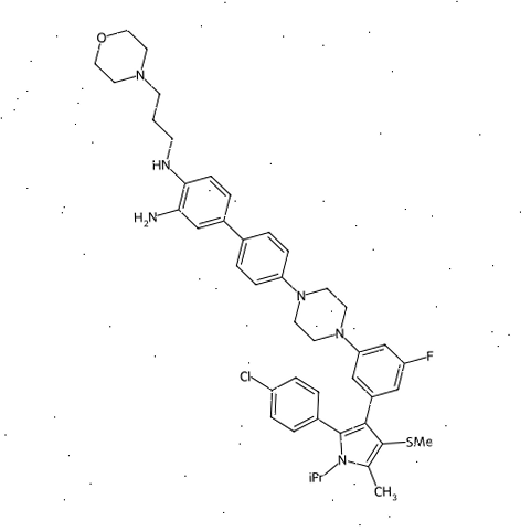 CSc1c(-c2cc(F)cc(N3CCN(c4ccc(-c5ccc(NCCCN6CCOCC6)c(N)c5)cc4)CC3)c2)c(-c2ccc(Cl)cc2)n(C(C)C)c1C